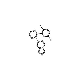 Fc1ccc(Cl)cc1-c1ncccc1-c1ccn2cnnc2c1